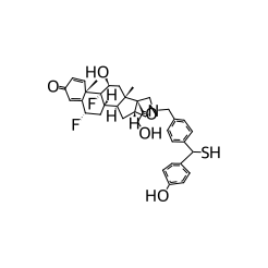 C[C@]12C=CC(=O)C=C1[C@@H](F)C[C@H]1[C@@H]3C[C@H]4CN(Cc5ccc(C(S)c6ccc(O)cc6)cc5)C[C@@]4(C(=O)CO)[C@@]3(C)C[C@H](O)[C@@]12F